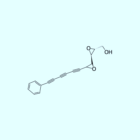 OC[C@H]1O[C@@H]1C1OC1C#CC#CC#Cc1ccccc1